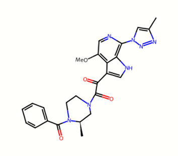 COc1cnc(-n2cc(C)nn2)c2[nH]cc(C(=O)C(=O)N3CCN(C(=O)c4ccccc4)[C@H](C)C3)c12